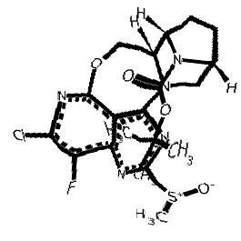 C[S+]([O-])c1nc2c3c(nc(Cl)c(F)c3n1)OC[C@@H]1[C@@H]3CC[C@H](CN21)N3C(=O)OC(C)(C)C